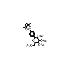 CC(=O)OCC1OC(c2ccc(B3OC(C)(C)C(C)(C)O3)cc2)C(OC(C)=O)C(OC(C)=O)C1OC(C)=O